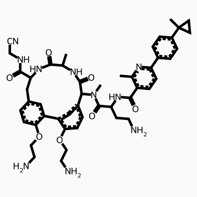 Cc1nc(-c2ccc(C3(C)CC3)cc2)ccc1C(=O)NC(CCN)C(=O)N(C)C1C(=O)NC(C)C(=O)NC(C(=O)NCC#N)Cc2ccc(OCCN)c(c2)-c2cc1ccc2OCCN